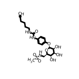 C#CCCCCNC(=O)Nc1ccc(O[C@H]2O[C@H](CNS(C)(=O)=O)[C@@H](O)[C@H](O)[C@@H]2O)cc1